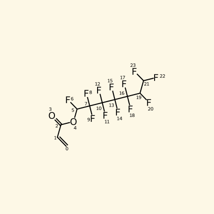 C=CC(=O)OC(F)C(F)(F)C(F)(F)C(F)(F)C(F)(F)C(F)C(F)F